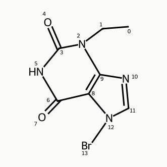 CCn1c(=O)[nH]c(=O)c2c1ncn2Br